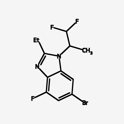 CCc1nc2c(F)cc(Br)cc2n1C(C)C(F)F